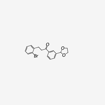 O=C(CCc1ccccc1Br)c1cccc(C2OCCO2)c1